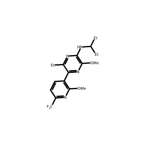 CCc1nc(NC(CC)CC)c(OC)nc1-c1ccc(C(F)(F)F)nc1OC